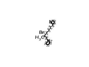 CC(CCCCCCCCc1cccnc1)CCC[n+]1ccccc1.[Br-]